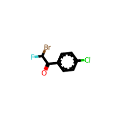 O=C(c1ccc(Cl)cc1)C(F)Br